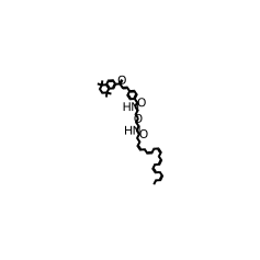 CC/C=C\C/C=C\C/C=C\C/C=C\C/C=C\C/C=C\CCC(=O)NCCOCCNC(=O)c1ccc(/C=C/C(=O)c2ccc3c(c2)C(C)(C)CCC3(C)C)cc1